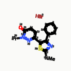 Br.CNc1nc(-c2ccccc2)c(-c2ccc(=O)n(C(C)C)n2)s1